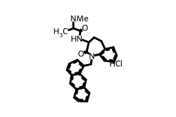 CNC(C)C(=O)NC1CCc2ccccc2N(Cc2cccc3cc4ccccc4cc23)C1=O.Cl